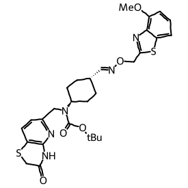 COc1cccc2sc(CO/N=C/[C@H]3CC[C@H](N(Cc4ccc5c(n4)NC(=O)CS5)C(=O)OC(C)(C)C)CC3)nc12